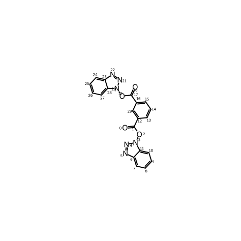 O=C(On1nnc2ccccc21)c1cccc(C(=O)On2nnc3ccccc32)c1